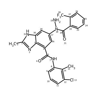 Cc1nc2c(C(=O)Nc3cccc(Cl)c3C)cc(N(N)C(=O)c3ccccc3C(F)(F)F)cc2[nH]1